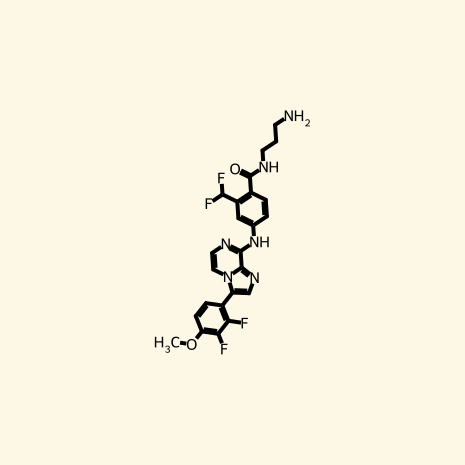 COc1ccc(-c2cnc3c(Nc4ccc(C(=O)NCCCN)c(C(F)F)c4)nccn23)c(F)c1F